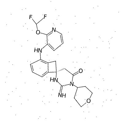 N=C1N[C@]2(CC(=O)N1C1CCOCC1)Cc1c(Nc3cccnc3OC(F)F)cccc12